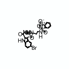 NC(=O)c1[nH]c2ccc(Br)cc2c1S(=O)(=O)NCCNS(=O)(=O)c1ccccc1[N+](=O)[O-]